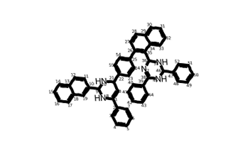 C1=C(c2ccccc2)NC(c2ccc3ccccc3c2)NC1c1ccc(-c2ccc3ccccc3c2C2N=C(c3ccccc3)NC(c3ccccc3)N2)cc1